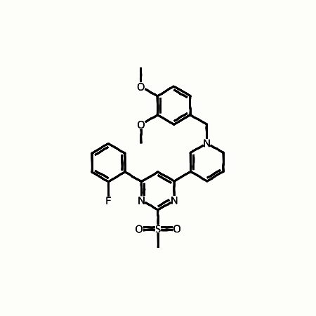 COc1ccc(CN2C=C(c3cc(-c4ccccc4F)nc(S(C)(=O)=O)n3)C=CC2)cc1OC